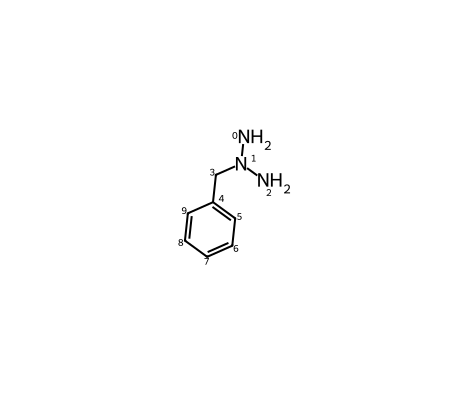 NN(N)Cc1ccccc1